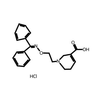 Cl.O=C(O)C1=CCCN(CCON=C(c2ccccc2)c2ccccc2)C1